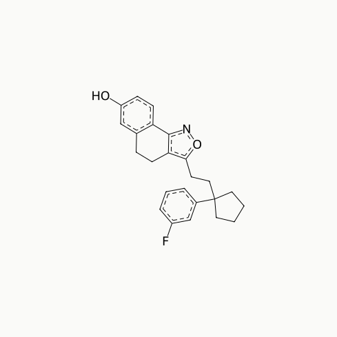 Oc1ccc2c(c1)CCc1c-2noc1CCC1(c2cccc(F)c2)CCCC1